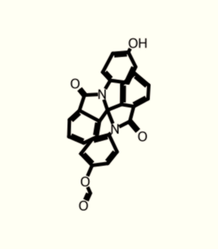 O=COc1ccc(N2C(=O)c3ccccc3C23c2ccccc2C(=O)N3c2ccc(O)cc2)cc1